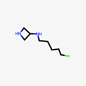 FCCCCCNC1CNC1